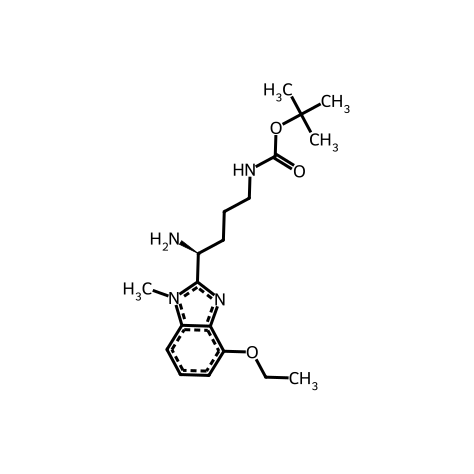 CCOc1cccc2c1nc([C@@H](N)CCCNC(=O)OC(C)(C)C)n2C